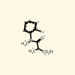 CCOC(=O)C(C)C(=O)N(C)c1ccccc1I